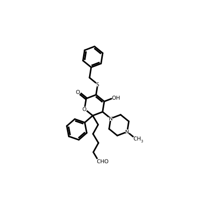 CN1CCN(C2C(O)=C(SCc3ccccc3)C(=O)OC2(CCCCC=O)c2ccccc2)CC1